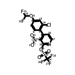 O=[N+]([O-])c1c(-c2ccc(OC(F)F)cc2Cl)ccnc1OS(=O)(=O)C(F)(F)F